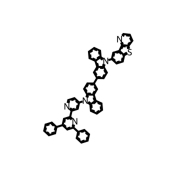 c1ccc(-c2cc(-c3ccccc3)nc(-c3cc(-n4c5ccccc5c5cc(-c6ccc7c(c6)c6ccccc6n7-c6ccc7sc8cccnc8c7c6)ccc54)ccn3)c2)cc1